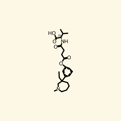 CCC1(c2cccc(OC(=O)CCC(=O)N[C@H](C(=O)O)C(C)C)c2)CCCCN(C)C1